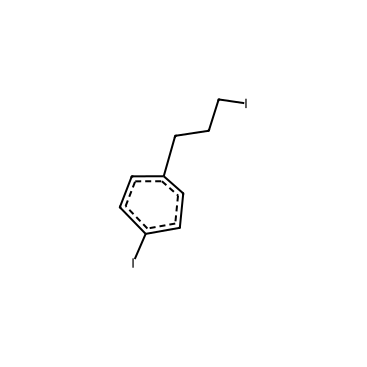 ICCCc1ccc(I)cc1